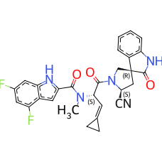 CN(C(=O)c1cc2c(F)cc(F)cc2[nH]1)[C@@H](C=C1CC1)C(=O)N1C[C@]2(C[C@H]1C#N)C(=O)Nc1ccccc12